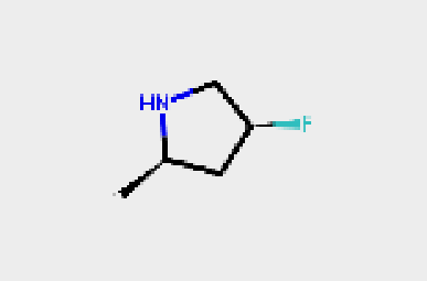 [CH2][C@@H]1C[C@H](F)CN1